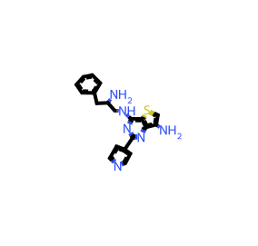 Nc1csc2c(NCC(N)Cc3ccccc3)nc(-c3ccncc3)nc12